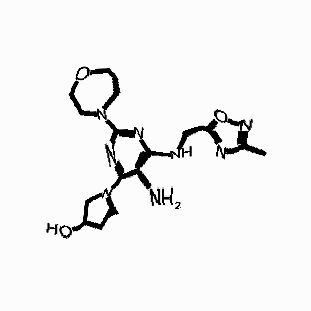 Cc1noc(CNc2nc(N3CCOCC3)nc(N3CCC(O)C3)c2N)n1